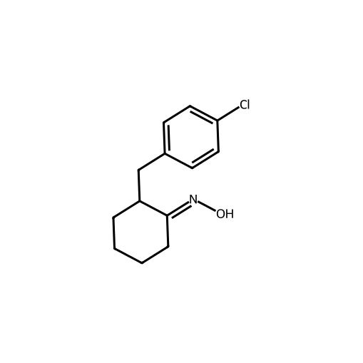 ON=C1CCCCC1Cc1ccc(Cl)cc1